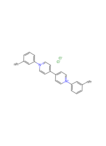 CCCc1cccc(-[n+]2ccc(-c3cc[n+](-c4cccc(CCC)c4)cc3)cc2)c1.[Cl-].[Cl-]